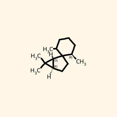 CC1CCC[C@@H](C)C12CC[C@@H]1[C@H]2C1(C)C